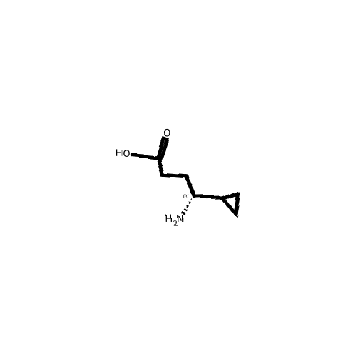 N[C@H](CCC(=O)O)C1CC1